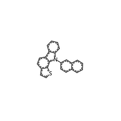 c1ccc2cc(-n3c4ccccc4c4ccc5ccsc5c43)ccc2c1